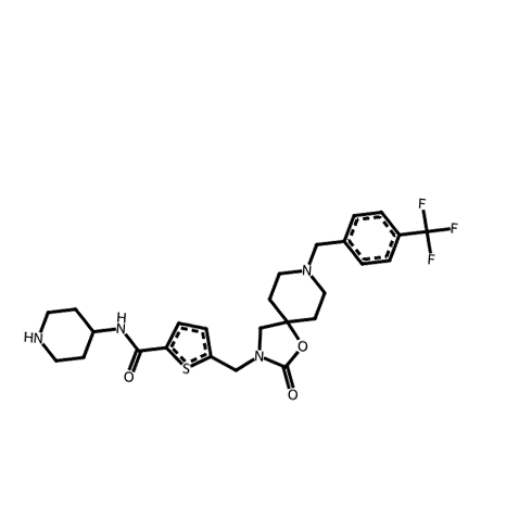 O=C(NC1CCNCC1)c1ccc(CN2CC3(CCN(Cc4ccc(C(F)(F)F)cc4)CC3)OC2=O)s1